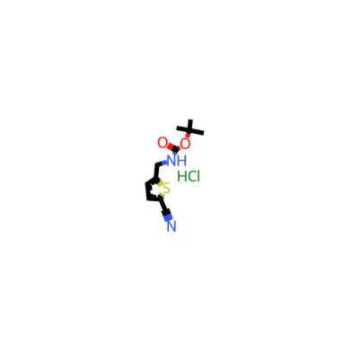 CC(C)(C)OC(=O)NCc1ccc(C#N)s1.Cl